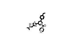 CCc1ccc(C2CC(C3=NC(CNC(C)C)CS3)CN(C(=O)N3CCOCC3)C2)cc1